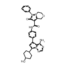 Nc1ncnn2c(C3CCC(O)CC3)cc(-c3ccc(NC(=O)c4c5n(n(-c6ccccc6)c4=O)CCOC5)cc3)c12